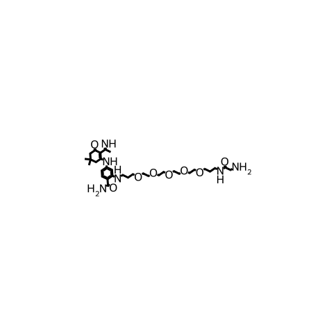 CC(=N)C1=C(Nc2ccc(C(N)=O)c(NCCCOCCOCCOCCOCCOCCCNC(=O)CN)c2)CC(C)(C)CC1=O